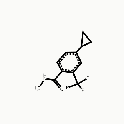 CNC(=O)c1ccc(C2CC2)cc1C(F)(F)F